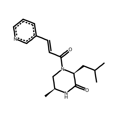 CC(C)C[C@H]1C(=O)N[C@@H](C)CN1C(=O)C=Cc1cccnc1